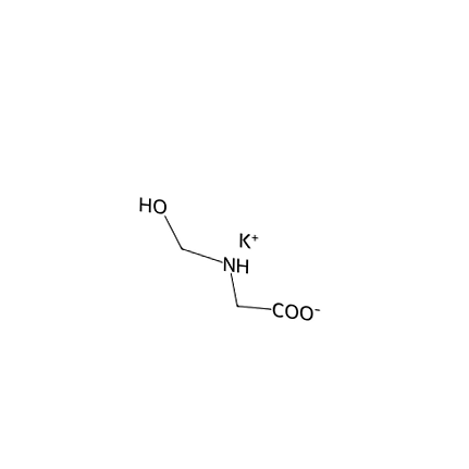 O=C([O-])CNCO.[K+]